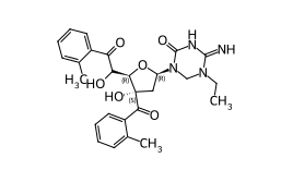 CCN1CN([C@H]2C[C@@](O)(C(=O)c3ccccc3C)[C@@H](C(O)C(=O)c3ccccc3C)O2)C(=O)NC1=N